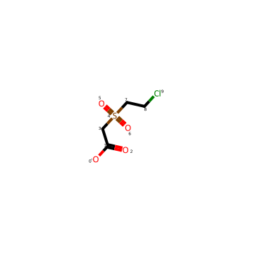 [O]C(=O)CS(=O)(=O)CCCl